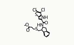 COC(=O)CCSCC1c2ccccc2C[C@H]1NC(=O)c1cc2sc(Cl)c(Cl)c2[nH]1